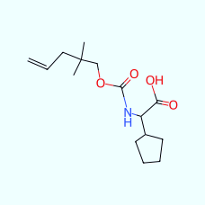 C=CCC(C)(C)COC(=O)NC(C(=O)O)C1CCCC1